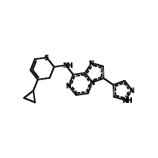 C1=CSC(Nc2nccn3c(-c4cn[nH]c4)cnc23)CC=1C1CC1